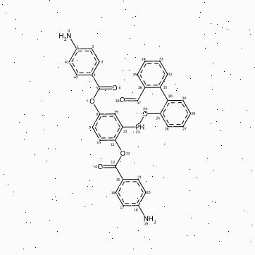 Nc1ccc(C(=O)Oc2ccc(OC(=O)c3ccc(N)cc3)c(POc3ccccc3-c3ccccc3C=O)c2)cc1